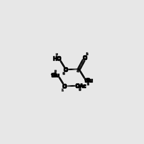 CC(=O)OOC(C)(C)C.CC(C)(C)C(=O)OO